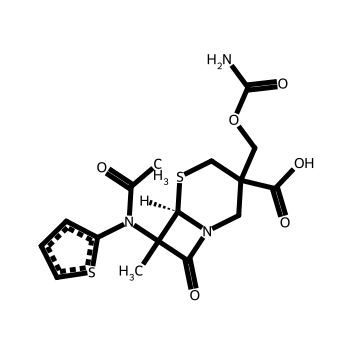 CC(=O)N(c1cccs1)C1(C)C(=O)N2CC(COC(N)=O)(C(=O)O)CS[C@@H]21